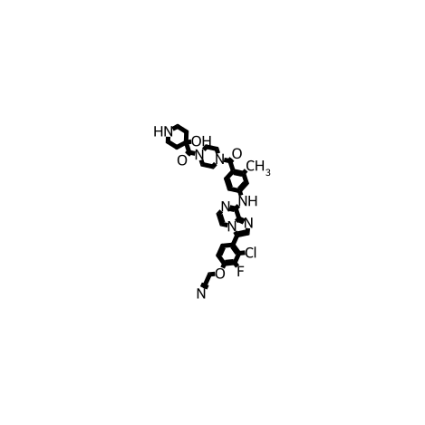 Cc1cc(Nc2nccn3c(-c4ccc(OCC#N)c(F)c4Cl)cnc23)ccc1C(=O)N1CCN(C(=O)C2(O)CCNCC2)CC1